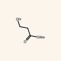 COC(=O)CCO